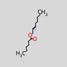 CCCCC/C=C/COC(=O)CCCCC